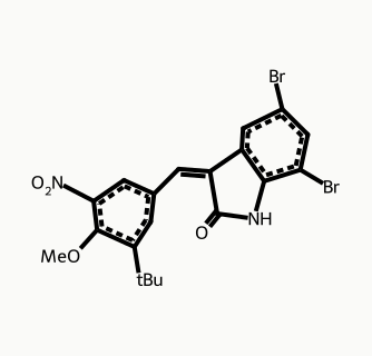 COc1c([N+](=O)[O-])cc(C=C2C(=O)Nc3c(Br)cc(Br)cc32)cc1C(C)(C)C